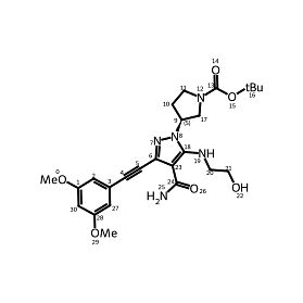 COc1cc(C#Cc2nn([C@H]3CCN(C(=O)OC(C)(C)C)C3)c(NCCO)c2C(N)=O)cc(OC)c1